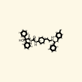 Cc1ccc(C[C@H](NCCC2CCC(NC(=O)N[C@H](C)C(O)(c3ccccc3)c3ccccc3)CC2)c2ccccc2)cc1